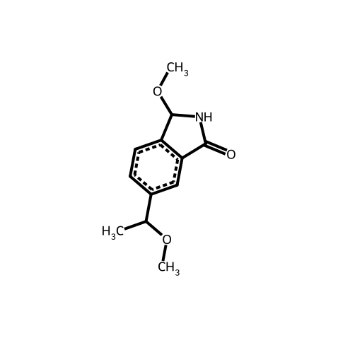 COC(C)c1ccc2c(c1)C(=O)NC2OC